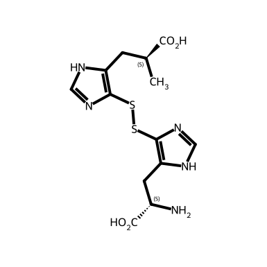 C[C@@H](Cc1[nH]cnc1SSc1nc[nH]c1C[C@H](N)C(=O)O)C(=O)O